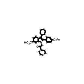 COc1ccc(-c2c(C3CCCCC3)c3ccc(C(=O)O)cc3n2CC(=O)N2CCOCC2)cc1